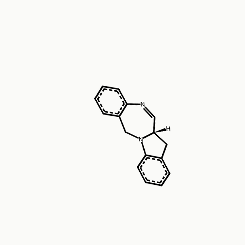 C1=Nc2ccccc2CN2c3ccccc3C[C@@H]12